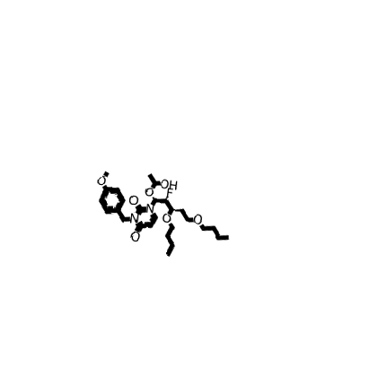 CCCCOCC[C@@H](OCCCC)[C@@H](F)[C@@H](OC(C)O)n1ccc(=O)n(Cc2ccc(OC)cc2)c1=O